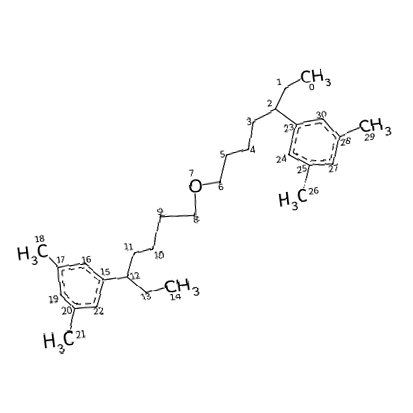 CCC(CCCCOCCCCC(CC)c1cc(C)cc(C)c1)c1cc(C)cc(C)c1